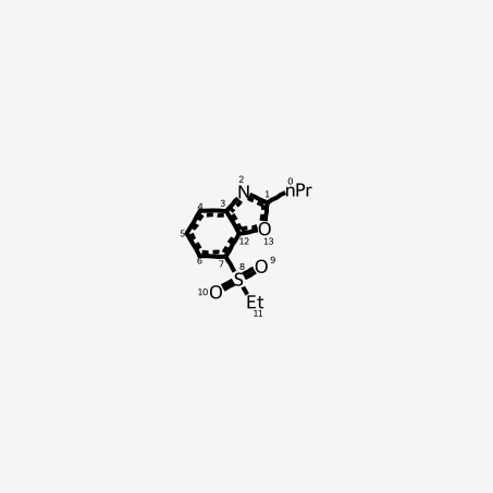 CCCc1nc2cccc(S(=O)(=O)CC)c2o1